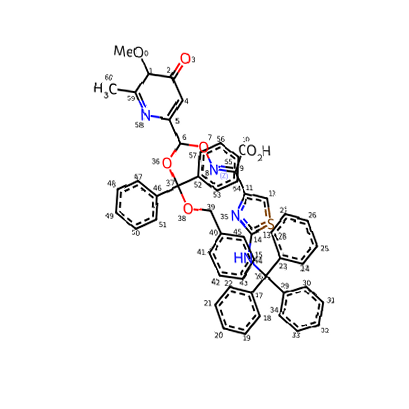 COC1C(=O)C=C(C(O/N=C(\C(=O)O)c2csc(NC(c3ccccc3)(c3ccccc3)c3ccccc3)n2)OC(OCc2ccccc2)(c2ccccc2)c2ccccc2)N=C1C